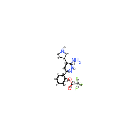 CN1CCC(c2cc(-c3ccccc3OC(=O)C(F)(F)F)nnc2N)C1